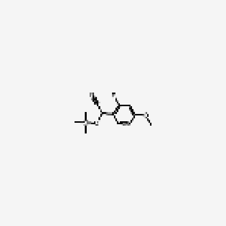 COc1ccc(C(C#N)O[Si](C)(C)C)c(F)c1